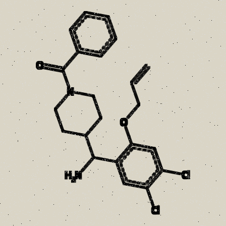 C=CCOc1cc(Cl)c(Cl)cc1C(N)C1CCN(C(=O)c2ccccc2)CC1